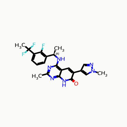 Cc1nc(N[C@H](C)c2cccc(C(C)(F)F)c2F)c2cc(-c3cnn(C)c3)c(=O)[nH]c2n1